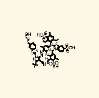 CCc1cc(C)c(S(=O)(=O)O)c(CC)c1Nc1nc(N(c2nc3ccc(S(=O)(=O)O)cc3s2)c2c(CC)cc(C)c(S(=O)(=O)O)c2CC)cc(C)c1/N=N/c1c(C#N)c(C(C)(C)C)nn1-c1nc2ccc(SOOO)cc2s1